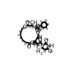 C[C@@H]1N[P@@](=O)(Oc2ccccc2)OC[C@H]2O[C@@H](n3ccc(=O)[nH]c3=O)[C@](C)(F)[C@@H]2OC(=O)CCCCCCOC1=O